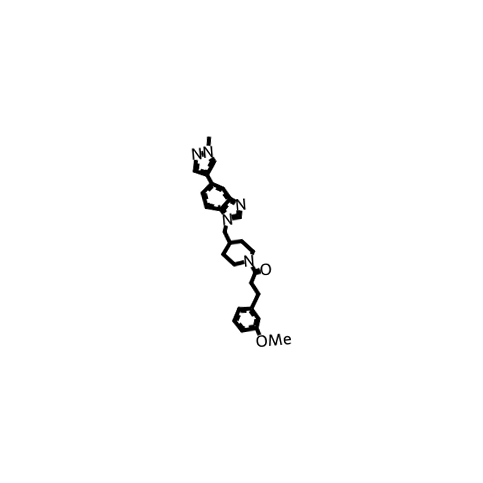 COc1cccc(CCC(=O)N2CCC(Cn3cnc4cc(-c5cnn(C)c5)ccc43)CC2)c1